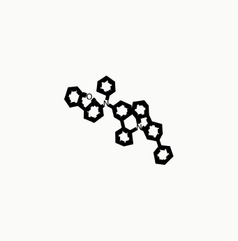 c1ccc(-c2ccc3c4ccccc4n(-c4ccccc4-c4cccc(N(c5ccccc5)c5cccc6c5oc5ccccc56)c4)c3c2)cc1